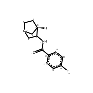 O=C(NC1CN2CC[C@H]1C2)c1ncc(Cl)cn1